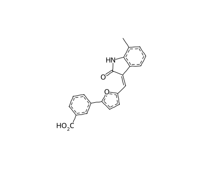 Cc1cccc2c1NC(=O)C2=Cc1ccc(-c2cccc(C(=O)O)c2)o1